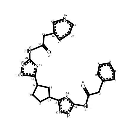 O=C(Cc1ccccc1)Nc1nnc(C2CCC(c3nnc(NC(=O)Cc4cccnc4)s3)C2)s1